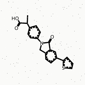 CC(C(=O)O)c1ccc(N2Cc3ccc(-c4cccs4)cc3C2=O)cc1